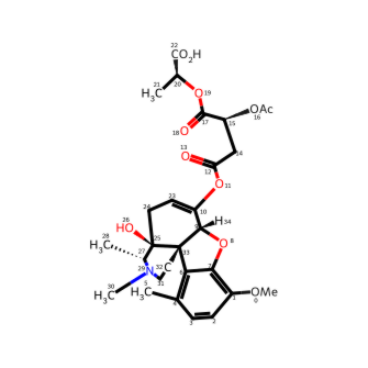 COc1ccc(C)c2c1O[C@H]1C(OC(=O)C[C@H](OC(C)=O)C(=O)O[C@@H](C)C(=O)O)=CC[C@@]3(O)[C@@H](C)N(C)CC[C@]213